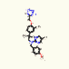 CCCc1cc(C(C)(C)CN(Cc2ccc(OC(F)(F)F)cc2)c2ncc(CC)cn2)ccc1OCC1=NNNN1